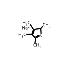 CC1=[C-]C(C)C(C)=C1C.[Na+]